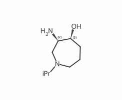 CC(C)N1CCC[C@H](O)[C@H](N)C1